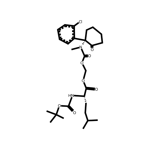 CC(C)CC[C@H](NC(=O)OC(C)(C)C)C(=O)OCOC(=O)N(C)[C@]1(c2ccccc2Cl)CCCCC1=O